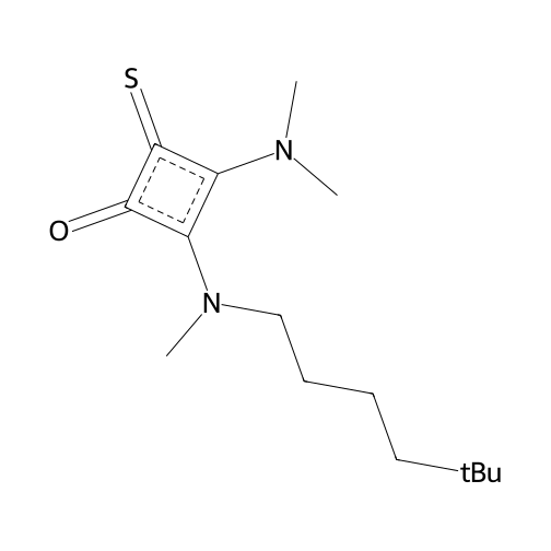 CN(C)c1c(N(C)CCCCC(C)(C)C)c(=O)c1=S